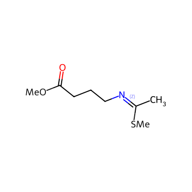 COC(=O)CCC/N=C(/C)SC